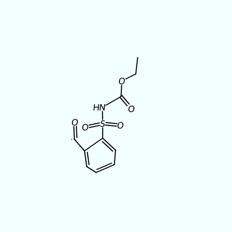 CCOC(=O)NS(=O)(=O)c1ccccc1[C]=O